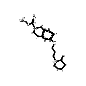 CC1CCCCN1CCCOc1ccc2c(c1)CCN(C(=O)OC(C)(C)C)C2